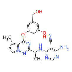 Cc1ccn2nc([C@H](C)Nc3ncnc(N)c3C#N)nc(Oc3cc(O)cc(CO)c3)c12